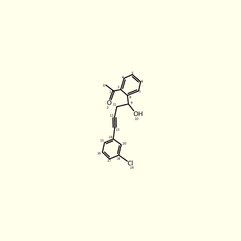 CC(=O)c1ccccc1C(O)CC#Cc1cccc(Cl)c1